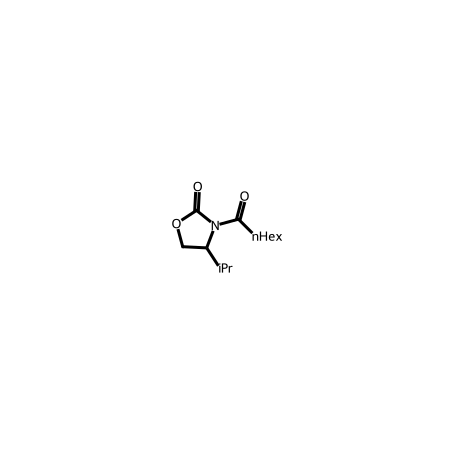 CCCCCCC(=O)N1C(=O)OCC1C(C)C